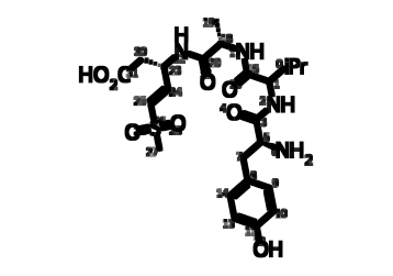 CC(C)C(NC(=O)[C@@H](N)Cc1ccc(O)cc1)C(=O)N[C@@H](C)C(=O)N[C@H](/C=C/S(C)(=O)=O)CC(=O)O